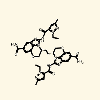 CCn1nc(C)cc1C(=O)Nc1nc2cc(C(N)=O)cc3c2n1[C@H](CC[C@H]1COc2cc(C(N)=O)cc4nc(NC(=O)c5cc(C)nn5CC)n1c24)CO3